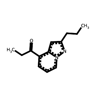 CCCc1cc2c(C(=O)CC)cccn2n1